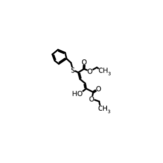 CCOC(=O)C(O)=CC=C(SCc1ccccc1)C(=O)OCC